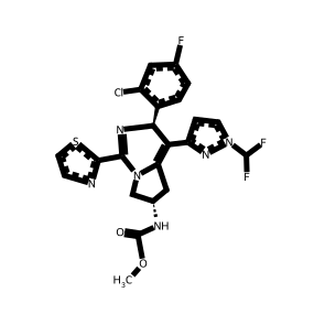 COC(=O)N[C@H]1CC2=C(c3ccn(C(F)F)n3)[C@H](c3ccc(F)cc3Cl)N=C(c3nccs3)N2C1